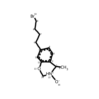 CC1c2ccc(CCCCBr)cc2OC[NH+]1[O-]